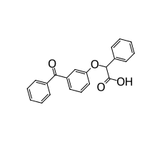 O=C(c1ccccc1)c1cccc(OC(C(=O)O)c2ccccc2)c1